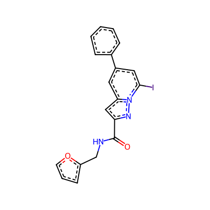 O=C(NCc1ccco1)c1cc2cc(-c3ccccc3)cc(I)n2n1